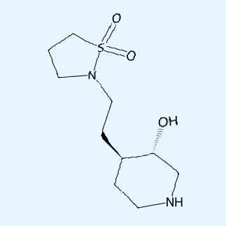 O=S1(=O)CCCN1CC[C@@H]1CCNC[C@H]1O